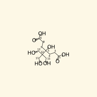 O=C(O)CCC(O)(CCC(=O)O)C(CO)(CO)CO